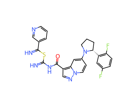 N=C(NC(=O)c1cnn2ccc(N3CCC[C@@H]3c3cc(F)ccc3F)cc12)SC(=N)c1cccnc1